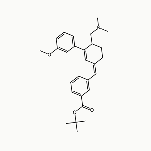 COc1cccc(C2=CC(=Cc3cccc(C(=O)OC(C)(C)C)c3)CCC2CN(C)C)c1